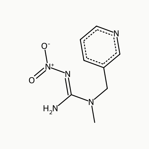 CN(Cc1cccnc1)C(N)=N[N+](=O)[O-]